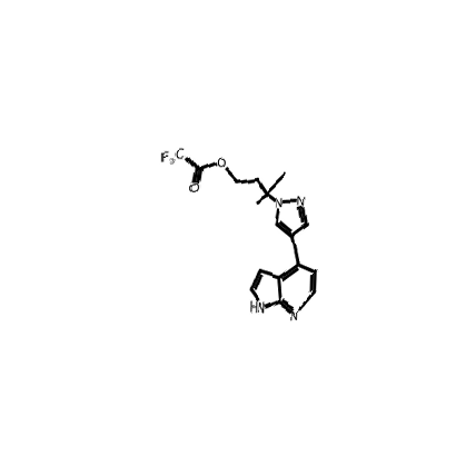 CC(C)(CCOC(=O)C(F)(F)F)n1cc(-c2ccnc3[nH]ccc23)cn1